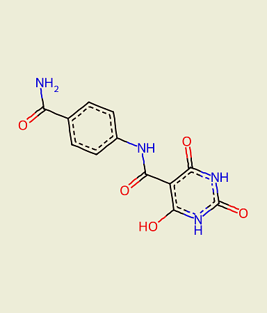 NC(=O)c1ccc(NC(=O)c2c(O)[nH]c(=O)[nH]c2=O)cc1